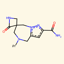 CC(C)N1Cc2cc(C(N)=O)nn2CC2(CNC2=O)C1